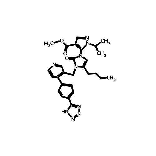 CCCCc1cn(-c2c(C(=O)OC)cnn2C(C)C)c(=O)n1Cc1cnccc1-c1ccc(-c2nnn[nH]2)cc1